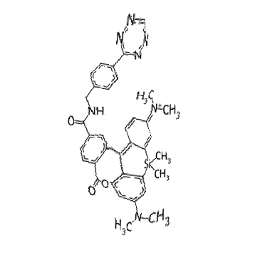 CN(C)c1ccc2c(c1)[Si](C)(C)C1=CC(=[N+](C)C)C=CC1=C2c1cc(C(=O)NCc2ccc(-c3nncnn3)cc2)ccc1C(=O)[O-]